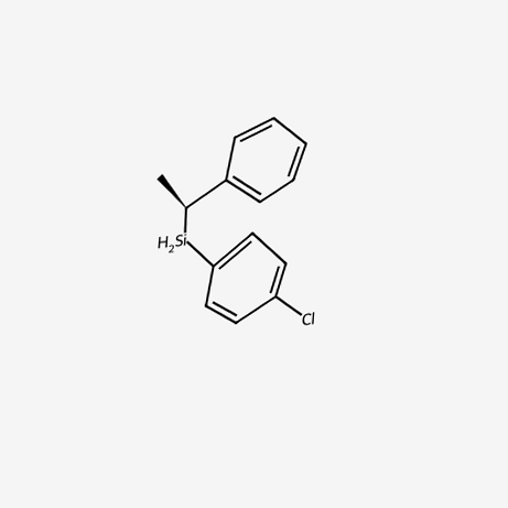 C[C@H]([SiH2]c1ccc(Cl)cc1)c1ccccc1